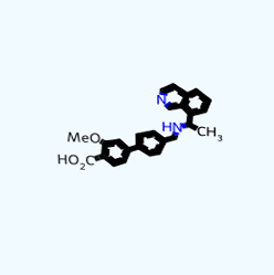 COc1cc(-c2ccc(CNC(C)c3cccc4ccncc34)cc2)ccc1C(=O)O